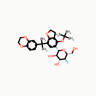 BC(B)(B)Oc1c([C@@H]2O[C@H](CO)[C@@H](F)[C@H](O)[C@H]2O)cc(C(B)(B)c2ccc3c(c2)OCCO3)c2c1CCO2